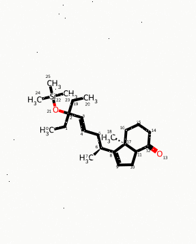 CCC(/C=C/C[C@H](C)C1=CCC2C(=O)CCC[C@]12C)(CC)O[Si](C)(C)C